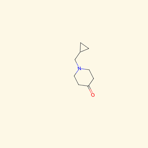 O=C1CCN(CC2CC2)CC1